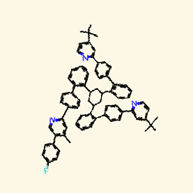 Cc1cc(-c2ccc(-c3ccccc3C3CC(c4ccccc4-c4ccc(-c5cc(C(C)(C)C)ccn5)cc4)CC(c4ccccc4-c4ccc(-c5cc(C(C)(C)C)ccn5)cc4)C3)cc2)ncc1-c1ccc(F)cc1